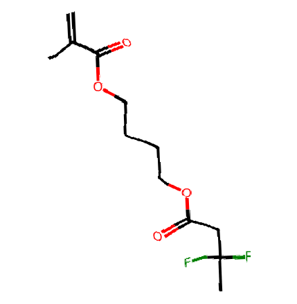 C=C(C)C(=O)OCCCCOC(=O)CC(C)(F)F